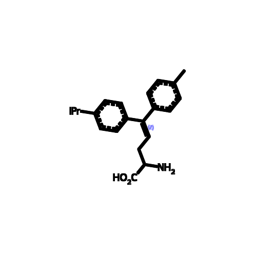 Cc1ccc(/C(=C/CC(N)C(=O)O)c2ccc(C(C)C)cc2)cc1